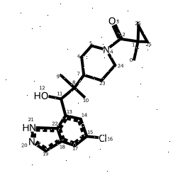 CC1(C(=O)N2CCC(C(C)(C)C(O)c3cc(Cl)cc4cn[nH]c34)CC2)CC1